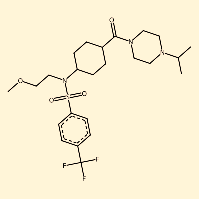 COCCN(C1CCC(C(=O)N2CCN(C(C)C)CC2)CC1)S(=O)(=O)c1ccc(C(F)(F)F)cc1